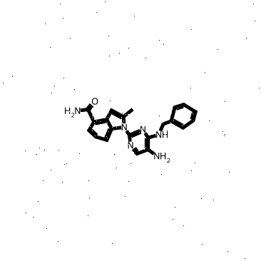 Cc1cc2c(C(N)=O)cccc2n1-c1ncc(N)c(NCc2ccccc2)n1